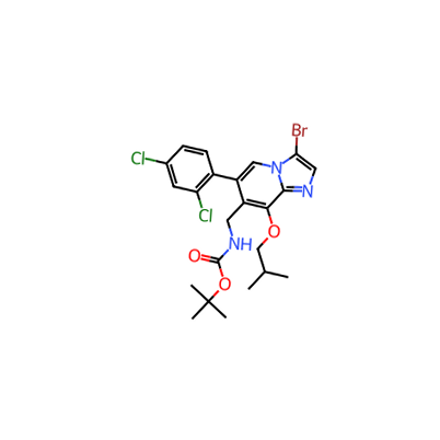 CC(C)COc1c(CNC(=O)OC(C)(C)C)c(-c2ccc(Cl)cc2Cl)cn2c(Br)cnc12